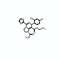 CCOC(=O)C1=C2[C@@H](C(N)=O)CCN2C(c2nccs2)=NC1c1ccc(F)cc1Cl